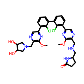 COc1nc(-c2cccc(-c3cccc(-c4cnc(CN5CC(O)C(O)C5)c(OC)n4)c3Cl)c2Cl)cnc1CNCC1CCC(=O)N1